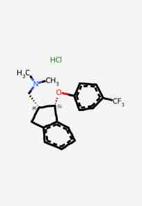 CN(C)C[C@H]1Cc2ccccc2[C@H]1Oc1ccc(C(F)(F)F)cc1.Cl